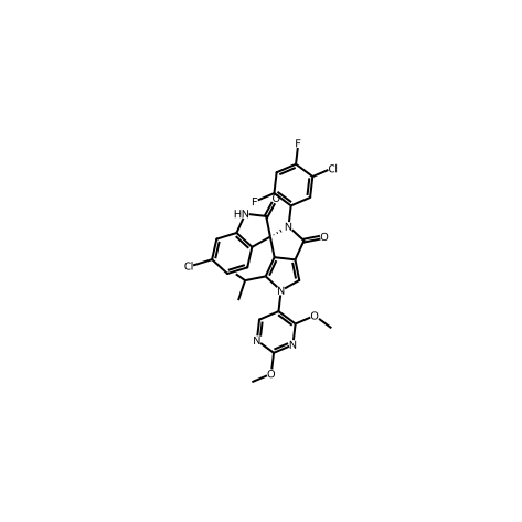 COc1ncc(-n2cc3c(c2C(C)C)[C@@]2(C(=O)Nc4cc(Cl)ccc42)N(c2cc(Cl)c(F)cc2F)C3=O)c(OC)n1